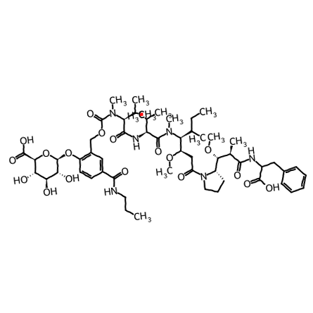 CCCNC(=O)c1ccc(O[C@@H]2O[C@H](C(=O)O)[C@@H](O)[C@H](O)[C@H]2O)c(COC(=O)N(C)[C@H](C(=O)N[C@H](C(=O)N(C)[C@@H](C(C)CC)[C@@H](CC(=O)N2CCC[C@H]2[C@H](OC)[C@@H](C)C(=O)NC(Cc2ccccc2)C(=O)O)OC)C(C)C)C(C)C)c1